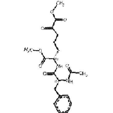 COC(=O)C(=O)CCC[C@H](NC(=O)[C@H](Cc1ccccc1)NC(C)=O)C(=O)OC